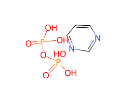 O=P(O)(O)OP(=O)(O)O.c1cncnc1